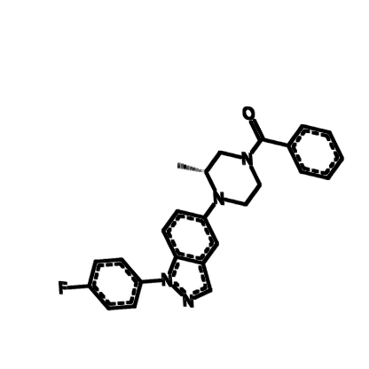 C[C@@H]1CN(C(=O)c2ccccc2)CCN1c1ccc2c(cnn2-c2ccc(F)cc2)c1